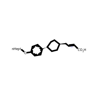 CCCCCCCOc1ccc([C@H]2CC[C@H](C/C=C/C(=O)O)CC2)cc1